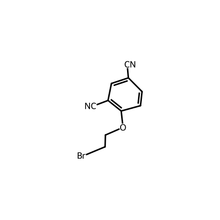 N#Cc1ccc(OCCBr)c(C#N)c1